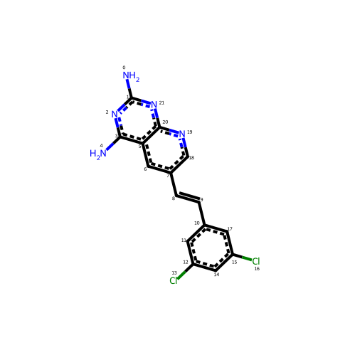 Nc1nc(N)c2cc(/C=C/c3cc(Cl)cc(Cl)c3)cnc2n1